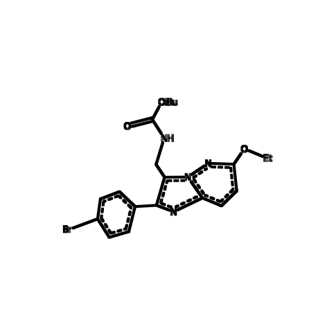 CCOc1ccc2nc(-c3ccc(Br)cc3)c(CNC(=O)OCC(C)C)n2n1